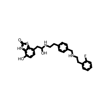 O=c1[nH]c2c(O)ccc(CC(O)NCCc3ccc(CNCCc4ccccc4F)cc3)c2s1